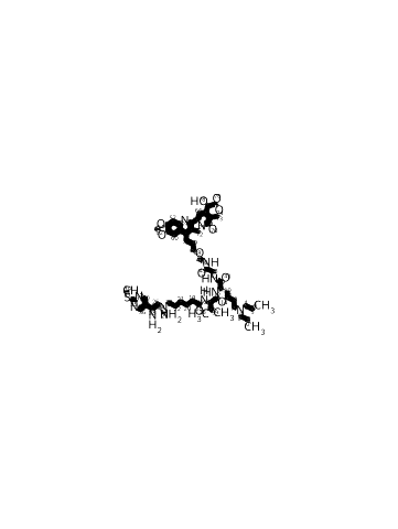 CCCN(CCC)CCCC[C@H](NC(=O)[C@@H](NC(=O)CCCCCN(N)/C=C(\N)c1cnc(SC)nc1)C(C)C)C(=O)NCC(=O)NCOC/C=C/c1c2c(nc3cc4c(cc13)OCO4)-c1cc3c(c(=O)n1C2)COC(=O)[C@H]3O